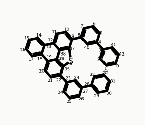 c1ccc(-c2cccc(-c3ccc4c5ccccc5c5ccc(-c6cccc(-c7ccccc7)c6)c6sc3c4c65)c2)cc1